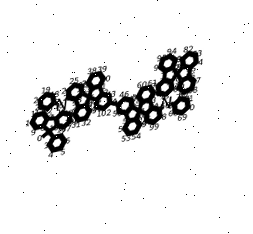 CC1(c2ccccc2)c2ccccc2-c2c(N(c3ccccc3)c3cccc4c3-c3ccccc3C43c4ccccc4-c4cc(-c5ccc6c(c5)-c5ccccc5C65c6ccccc6-c6c(N(c7ccccc7)c7ccc8c(c7)C7(c9ccccc9-c9ccccc97)c7ccccc7-8)cccc65)ccc43)cccc21